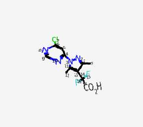 Cc1nn(-c2cc(Cl)ncn2)c(C)c1C(F)(F)C(=O)O